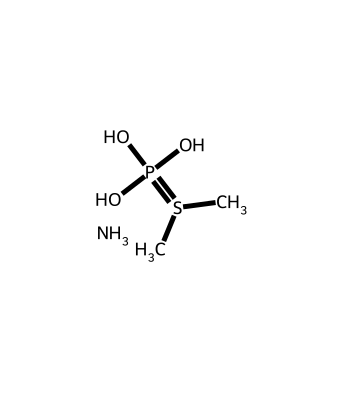 CS(C)=P(O)(O)O.N